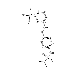 CC(C)S(=O)(=O)Nc1ccc(CNc2cccc(C(F)(F)F)c2)cc1